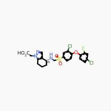 O=C(O)Cn1ncc2c1CCC[C@H]2NCS(=O)(=O)c1ccc(Oc2ccc(Cl)cc2F)c(Cl)c1